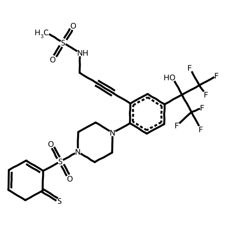 CS(=O)(=O)NCC#Cc1cc(C(O)(C(F)(F)F)C(F)(F)F)ccc1N1CCN(S(=O)(=O)C2=CC=CCC2=S)CC1